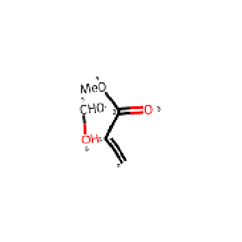 C=CC(=O)OC.O=[C]O